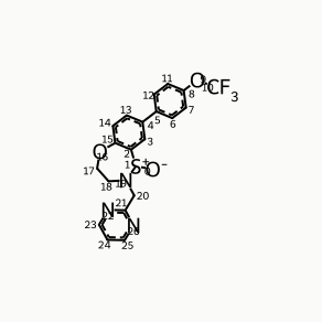 [O-][S+]1c2cc(-c3ccc(OC(F)(F)F)cc3)ccc2OCCN1Cc1ncccn1